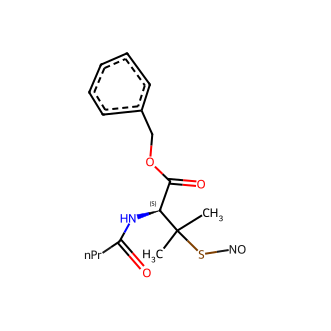 CCCC(=O)N[C@@H](C(=O)OCc1ccccc1)C(C)(C)SN=O